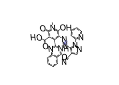 Cn1c(O)c(/N=N/c2c(C#N)cnn2-c2ccccn2)c(-c2nc3ccccc3c(=O)[nH]2)c(C(=O)O)c1=O